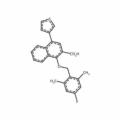 Cc1cc(F)cc(C)c1COc1c(C(=O)O)cc(-c2ccsc2)c2ccccc12